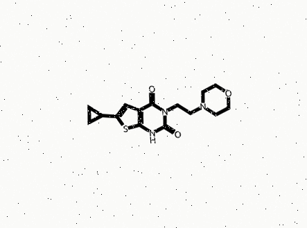 O=c1[nH]c2sc(C3CC3)cc2c(=O)n1CCN1CCOCC1